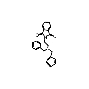 C[C@@H](CN1C(=O)c2ccccc2C1=O)N(Cc1ccccc1)Cc1ccccc1